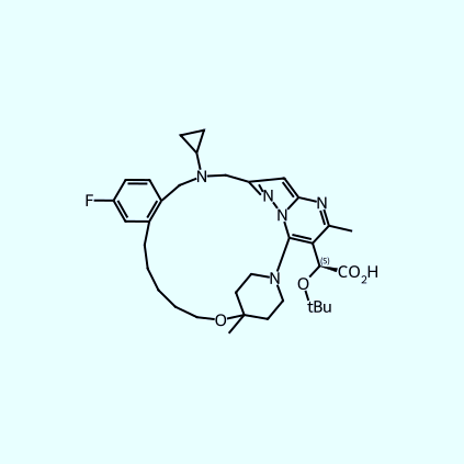 Cc1nc2cc3nn2c(c1[C@H](OC(C)(C)C)C(=O)O)N1CCC(C)(CC1)OCCCCCc1cc(F)ccc1CN(C1CC1)C3